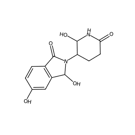 O=C1CCC(N2C(=O)c3ccc(O)cc3C2O)C(O)N1